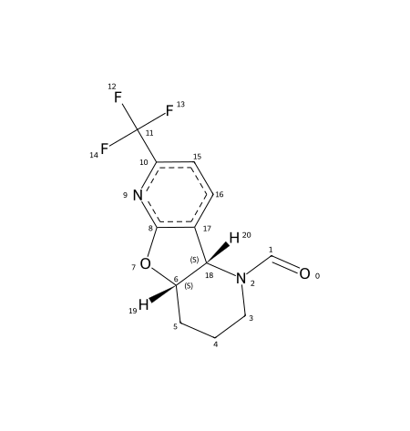 O=CN1CCC[C@@H]2Oc3nc(C(F)(F)F)ccc3[C@@H]21